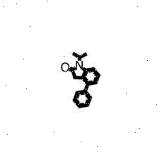 CC(C)N1C(=O)Cc2c(-c3ccccc3)cccc21